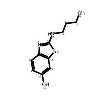 OCCCNc1nc2ccc(O)cc2s1